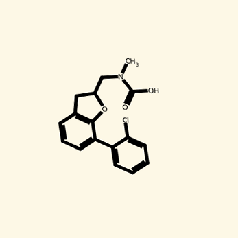 CN(CC1Cc2cccc(-c3ccccc3Cl)c2O1)C(=O)O